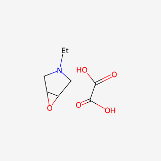 CCN1CC2OC2C1.O=C(O)C(=O)O